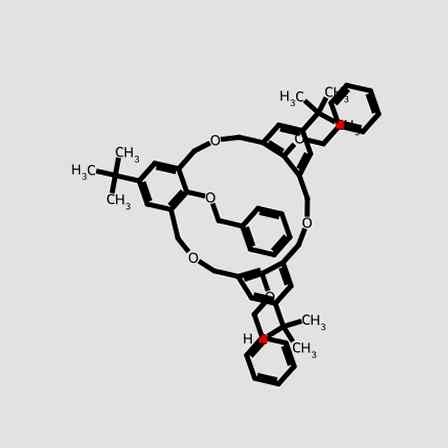 CC(C)(C)c1cc2c(OCc3ccccc3)c(c1)COCc1cc(C(C)(C)C)cc(c1OCc1ccccc1)COCc1cc(C(C)(C)C)cc(c1OCc1ccccc1)COC2